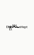 CCCCCCCCCCCCNC(CC)CC.N